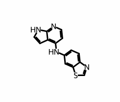 c1cc(Nc2ccc3ncsc3c2)c2cc[nH]c2n1